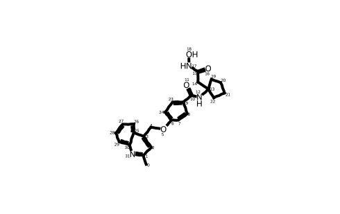 Cc1cc(COc2ccc(C(=O)NC3(CC(=O)NO)CCCC3)cc2)c2ccccc2n1